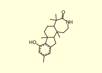 Cc1cc(O)c2c(c1)CC1C2(C)CCC2C(C)(C)C(=O)NCCC21C